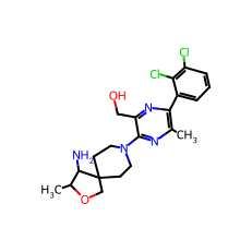 Cc1nc(N2CCC3(CC2)COC(C)C3N)c(CO)nc1-c1cccc(Cl)c1Cl